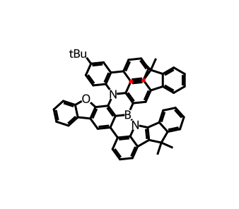 CC(C)(C)c1ccc(N2c3cc4c(cc3B3c5c(cc6c(oc7ccccc76)c52)-c2cccc5c6c(n3c25)-c2ccccc2C6(C)C)-c2ccccc2C4(C)C)c(-c2ccccc2)c1